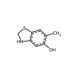 Cc1cc2c(cc1O)NCS2